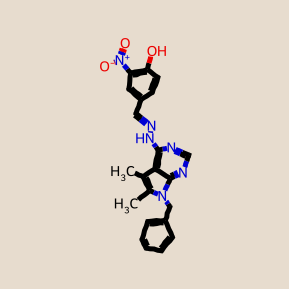 Cc1c(C)n(Cc2ccccc2)c2ncnc(NN=Cc3ccc(O)c([N+](=O)[O-])c3)c12